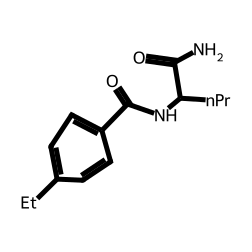 CCCC(NC(=O)c1ccc(CC)cc1)C(N)=O